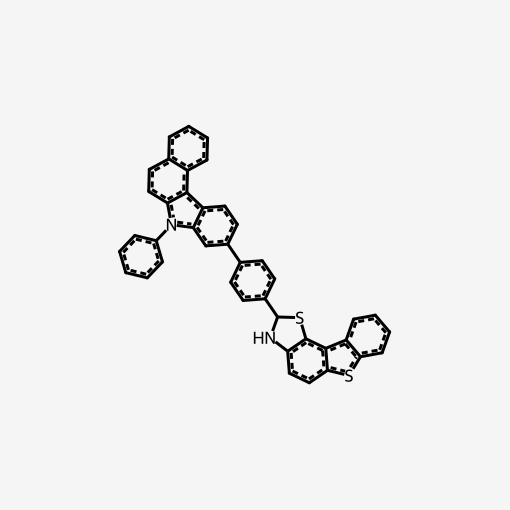 c1ccc(-n2c3cc(-c4ccc(C5Nc6ccc7sc8ccccc8c7c6S5)cc4)ccc3c3c4ccccc4ccc32)cc1